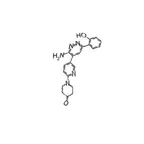 Nc1nnc(-c2ccccc2O)cc1-c1ccc(N2CCC(=O)CC2)nc1